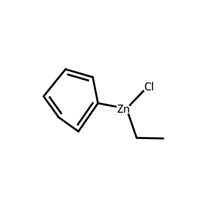 C[CH2][Zn]([Cl])[c]1ccccc1